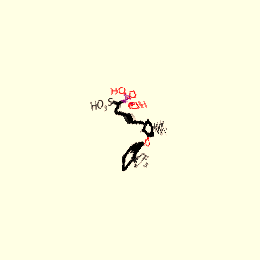 O=P(O)(O)C(CCCc1cccc(Oc2ccccc2C(F)(F)F)c1)S(=O)(=O)O.[K].[K].[K]